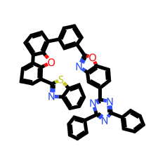 c1ccc(-c2nc(-c3ccccc3)nc(-c3ccc4oc(-c5cccc(-c6cccc7c6oc6c(-c8nc9ccccc9s8)cccc67)c5)nc4c3)n2)cc1